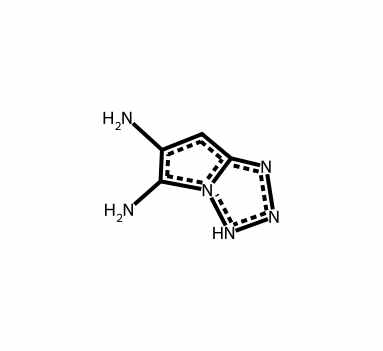 Nc1cc2nn[nH]n2c1N